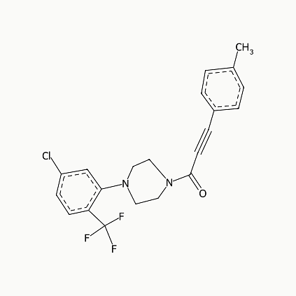 Cc1ccc(C#CC(=O)N2CCN(c3cc(Cl)ccc3C(F)(F)F)CC2)cc1